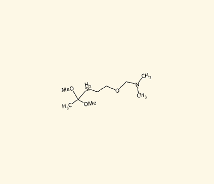 COC(C)(OC)[SiH2]CCOCN(C)C